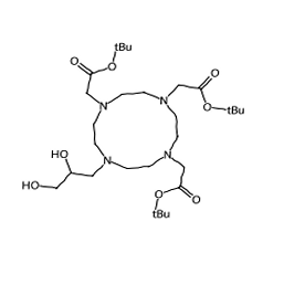 CC(C)(C)OC(=O)CN1CCN(CC(=O)OC(C)(C)C)CCN(CC(O)CO)CCN(CC(=O)OC(C)(C)C)CC1